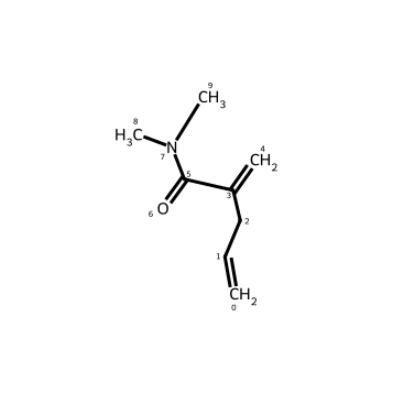 C=CCC(=C)C(=O)N(C)C